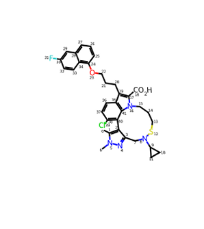 Cc1c2c(nn1C)CN(C1CC1)SCCCn1c(C(=O)O)c(CCCOc3cccc4cc(F)ccc34)c3ccc(Cl)c-2c31